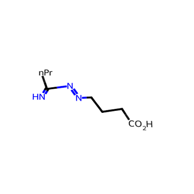 CCCC(=N)N=NCCCC(=O)O